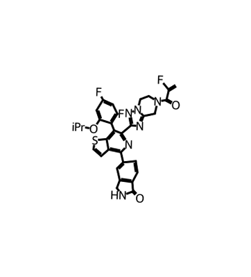 C=C(F)C(=O)N1CCn2nc(-c3nc(-c4ccc5c(c4)CNC5=O)c4ccsc4c3-c3c(F)cc(F)cc3OC(C)C)nc2C1